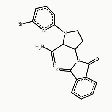 NC(=O)C1C(N2C(=O)c3ccccc3C2=O)CCN1c1cccc(Br)n1